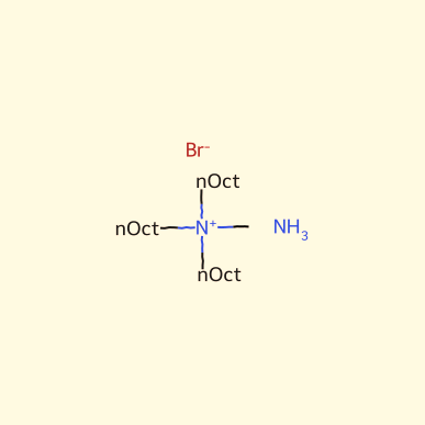 CCCCCCCC[N+](C)(CCCCCCCC)CCCCCCCC.N.[Br-]